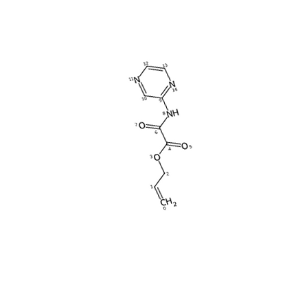 C=CCOC(=O)C(=O)Nc1cnccn1